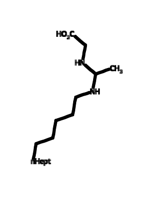 CCCCCCCCCCCCNC(C)NCC(=O)O